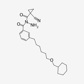 N#CC1(C(=O)N(N)C(=O)c2cccc(CCCCCCOCC3CCCCC3)c2)CC1